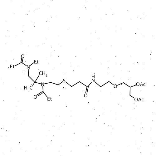 CCC(=O)N(CC)CC(C)(C)N(CCSCCC(=O)NCCOCC(COC(C)=O)OC(C)=O)C(=O)CC